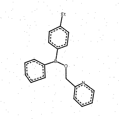 CCc1ccc(B(OCc2ccccn2)c2ccccc2)cc1